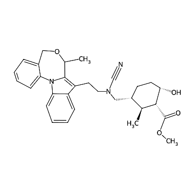 COC(=O)[C@@H]1[C@@H](C)[C@H](CN(C#N)CCc2c3n(c4ccccc24)-c2ccccc2COC3C)CC[C@@H]1O